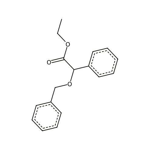 CCOC(=O)C(OCc1ccccc1)c1ccccc1